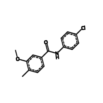 COc1cc(C(=O)Nc2ccc(Cl)cc2)ccc1C